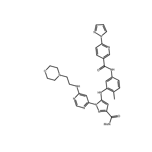 CNC(=O)c1cc(Nc2cc(NC(=O)c3ccc(-n4cccn4)nc3)ccc2C)n(-c2cc(NCCN3CCOCC3)ncn2)n1